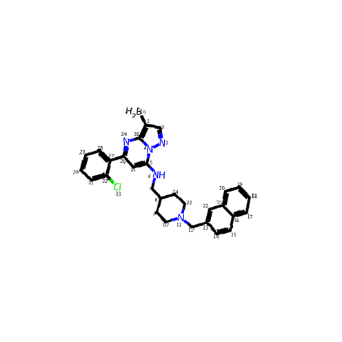 Bc1cnn2c(NCC3CCN(Cc4ccc5ccccc5c4)CC3)cc(-c3ccccc3Cl)nc12